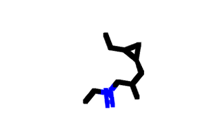 CCNCC(C)C[C@@H]1CC1CC